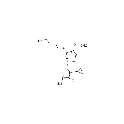 CC(c1ccc(OC=O)c(OCCCCO)c1)N(C(=O)OC(C)(C)C)C1CC1